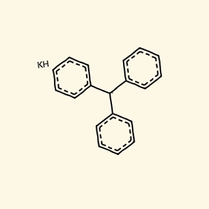 [KH].c1ccc([C](c2ccccc2)c2ccccc2)cc1